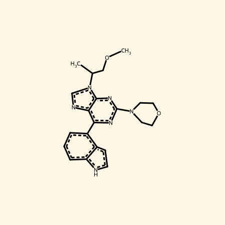 COCC(C)n1cnc2c(-c3cccc4[nH]ccc34)nc(N3CCOCC3)nc21